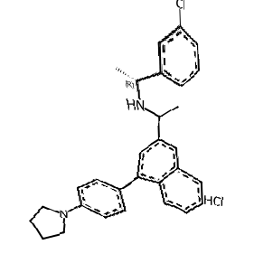 CC(N[C@H](C)c1cccc(Cl)c1)c1cc(-c2ccc(N3CCCC3)cc2)c2ccccc2c1.Cl